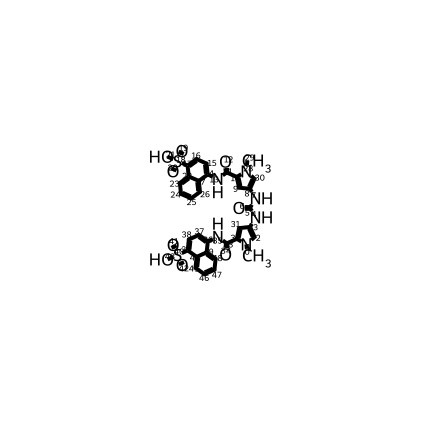 Cn1cc(NC(=O)Nc2cc(C(=O)Nc3ccc(S(=O)(=O)O)c4ccccc34)n(C)c2)cc1C(=O)Nc1ccc(S(=O)(=O)O)c2ccccc12